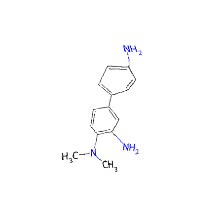 CN(C)c1ccc(-c2ccc(N)cc2)cc1N